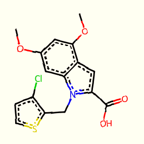 COc1cc(OC)c2cc(C(=O)O)n(Cc3sccc3Cl)c2c1